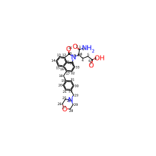 NC(=O)[C@@H](CCC(=O)O)N1C(=O)c2cccc3c(Cc4ccc(CN5CCOCC5)cc4)ccc1c23